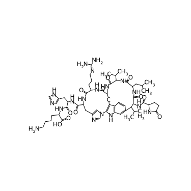 CC(C)CC1NC(=O)C(NC(=O)C2CCC(=O)N2)C(C(C)C)c2ccc3c4c([nH]c3c2)-n2cnc(c2)CC(C(=O)NC(Cc2cnc[nH]2)C(=O)NC(CCCCN)C(=O)O)NC(=O)C(CCCN=C(N)N)NC(=O)C(C4)NC(=O)C(C(C)C)NC1=O